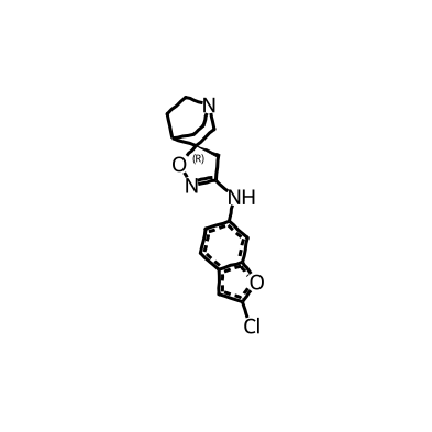 Clc1cc2ccc(NC3=NO[C@@]4(C3)CN3CCC4CC3)cc2o1